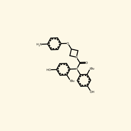 CC(C)(C)c1cc(O)ccc1N(C(=O)N1CC(Oc2ccc(N)cc2)C1)c1ccc(O)cc1C(C)(C)C